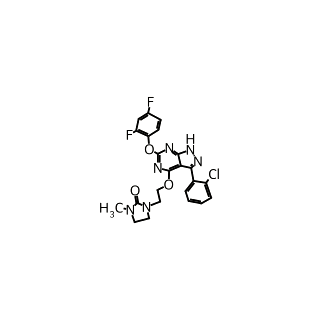 CN1CCN(CCOc2nc(Oc3ccc(F)cc3F)nc3[nH]nc(-c4ccccc4Cl)c23)C1=O